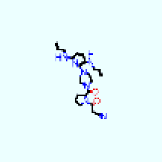 C=CCNc1ccc(NCC=C)c(N2CCN(C(=O)C3CCCN3C(=O)CC#N)CC2)n1